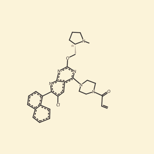 C=CC(=O)N1CCN(c2nc(OC[C@@H]3CCCN3C)nc3nc(-c4cccc5ccccc45)c(Cl)cc23)CC1